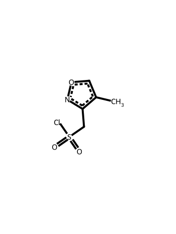 Cc1conc1CS(=O)(=O)Cl